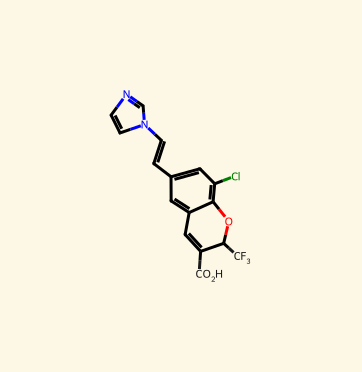 O=C(O)C1=Cc2cc(C=Cn3ccnc3)cc(Cl)c2OC1C(F)(F)F